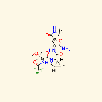 COC(C)(C)[C@H](NC(=O)C(F)(F)F)C(=O)N1C[C@H]2[C@@H]([C@H]1C(=O)N[C@@H](C[C@@H]1CC3(CC3)NC1=O)C(N)=O)C2(C)C